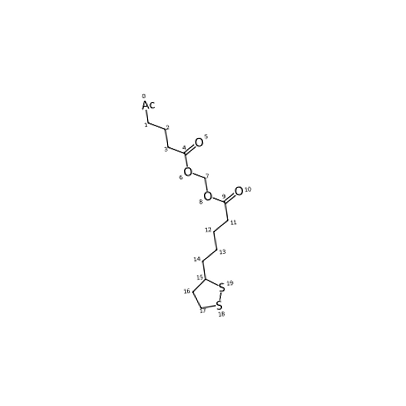 CC(=O)CCCC(=O)OCOC(=O)CCCCC1CCSS1